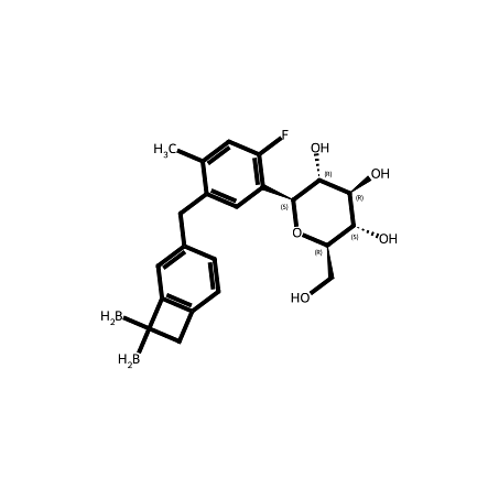 BC1(B)Cc2ccc(Cc3cc([C@@H]4O[C@H](CO)[C@@H](O)[C@H](O)[C@H]4O)c(F)cc3C)cc21